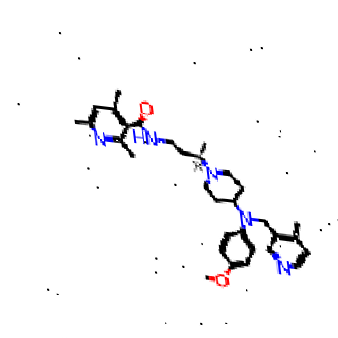 COc1ccc(N(Cc2cnccc2C)C2CCN([C@H](C)CCNC(=O)c3c(C)cc(C)nc3C)CC2)cc1